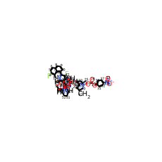 C#Cc1c(F)ccc2cccc(-c3nc4c5c(nc(OC[C@@]67CC[C@@H](COC(=O)Oc8ccc([N+](=O)[O-])cc8)N6CC(=C)C7)nc5c3F)N3C[C@H]5CC[C@@H]([C@H]3CCO4)N5C(=O)OC(C)(C)C)c12